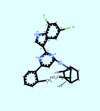 Cc1ccccc1-c1cc(N[C@@H]2C3CCC(CC3)[C@H]2C(=O)O)nc(-c2c[nH]c3c(F)cc(F)cc23)n1